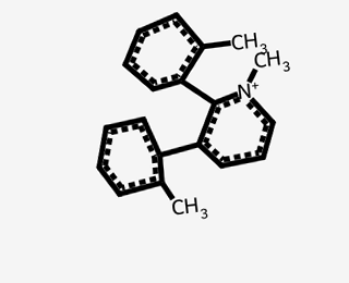 Cc1ccccc1-c1ccc[n+](C)c1-c1ccccc1C